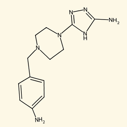 Nc1ccc(CN2CCN(c3nnc(N)[nH]3)CC2)cc1